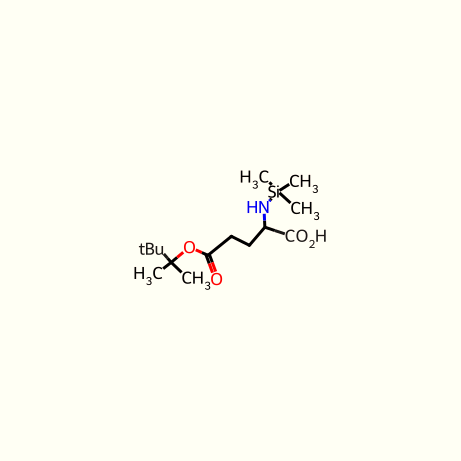 CC(C)(C)C(C)(C)OC(=O)CCC(N[Si](C)(C)C)C(=O)O